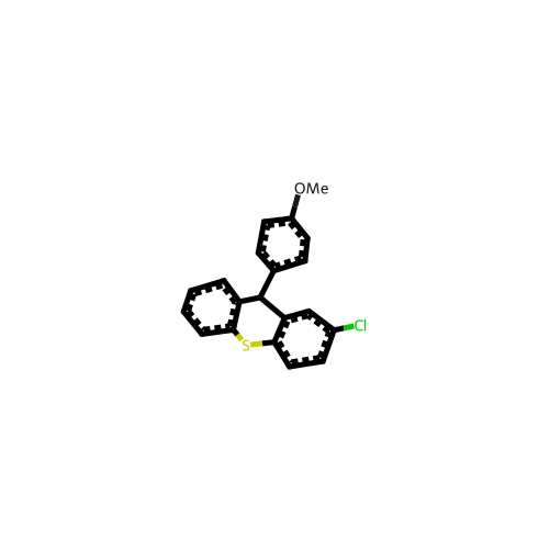 COc1ccc([C]2c3ccccc3Sc3ccc(Cl)cc32)cc1